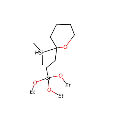 CCO[Si](CCC1([SiH](C)C)CCCCO1)(OCC)OCC